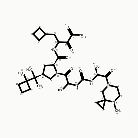 CN1CCN(C(=O)[C@@H](NC(=O)NC(C(=O)N2C[C@@H](C(C)(C)C3(C)CCC3)C[C@H]2C(=O)NC(CC2CCC2)C(=O)C(N)=O)C(C)(C)C)C(C)(C)C)CC12CC2